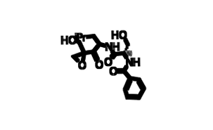 CC(C)CC(NC(=O)[C@H](CO)NC(=O)c1ccccc1)C(=O)C1(CO)CO1